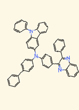 c1ccc(-c2ccc(N(c3ccc(-c4nc5ccccc5nc4-c4ccccc4)cc3)c3ccc4c(c3)c3ccccc3n4-c3ccccc3)cc2)cc1